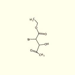 CCOC(=O)C(Br)C(O)C(C)=O